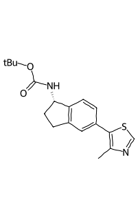 Cc1ncsc1-c1ccc2c(c1)CC[C@@H]2NC(=O)OC(C)(C)C